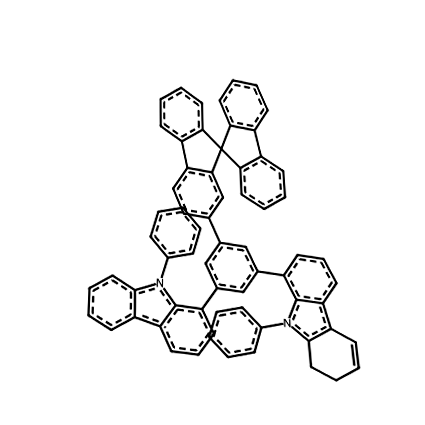 C1=Cc2c(n(-c3ccccc3)c3c(-c4cc(-c5ccc6c(c5)C5(c7ccccc7-c7ccccc75)c5ccccc5-6)cc(-c5cccc6c7ccccc7n(-c7ccccc7)c56)c4)cccc23)CC1